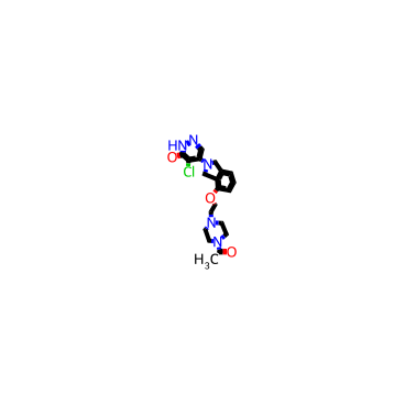 CC(=O)N1CCN(CCOc2cccc3c2CN(c2cn[nH]c(=O)c2Cl)C3)CC1